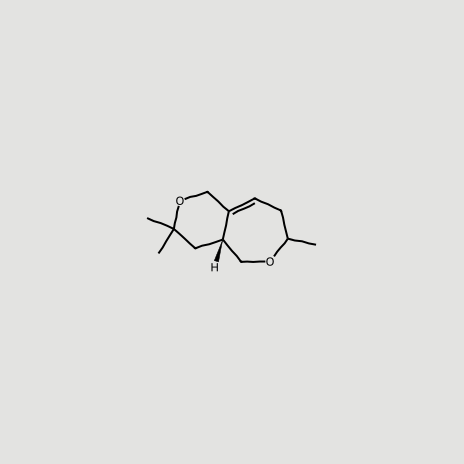 CC1CC=C2COC(C)(C)C[C@H]2CO1